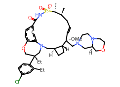 CCc1cc(Cl)ccc1[C@]1(CC)COc2ccc3cc2N(C[C@@H]2CC[C@H]2[C@@](CN2CCN4CCOC[C@H]4C2)(OC)/C=C/C[C@H](C)[C@@H](C)S(=O)(=O)NC3=O)C1